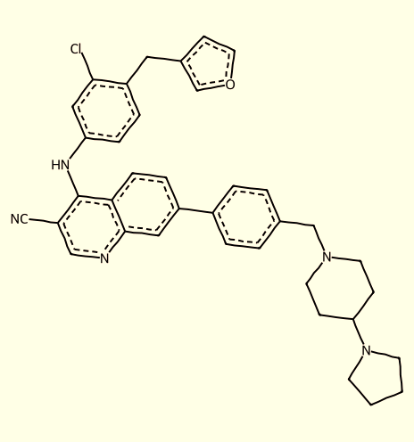 N#Cc1cnc2cc(-c3ccc(CN4CCC(N5CCCC5)CC4)cc3)ccc2c1Nc1ccc(Cc2ccoc2)c(Cl)c1